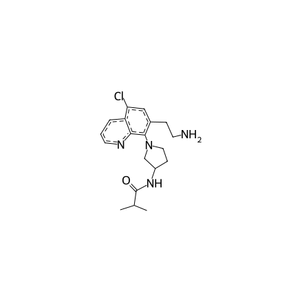 CC(C)C(=O)NC1CCN(c2c(CCN)cc(Cl)c3cccnc23)C1